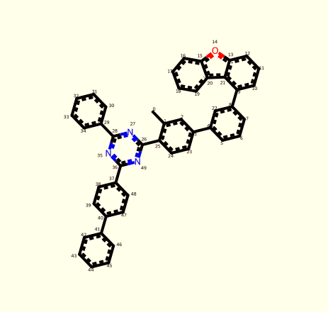 Cc1cc(-c2cccc(-c3cccc4oc5ccccc5c34)c2)ccc1-c1nc(-c2ccccc2)nc(-c2ccc(-c3ccccc3)cc2)n1